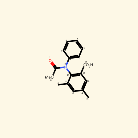 COC(=O)N(c1ccccc1)c1c(C)cc(C)cc1C(=O)O